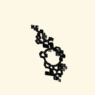 C=CC(=O)N1CC2(CCN2C(=O)N(C)C(C(=O)N[C@H]2Cc3cccc(n3)-c3ccc4c(c3)c(c(-c3cccnc3[C@H](C)OC)n4CC)CC(C)(C)COC(=O)[C@@H]3CCCN(N3)C2=O)C(C)C)C1